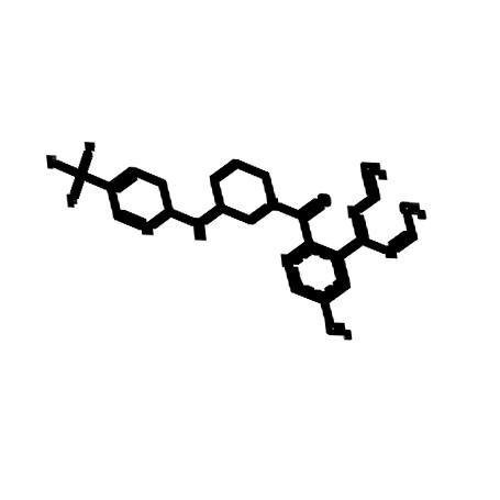 C=C/N=C(\N=C/C)c1cc(C)cnc1C(=O)N1CCCC(NC2CC=C(C(F)(F)F)C=N2)C1